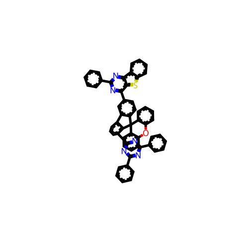 c1ccc(-c2nc(-c3ccccc3)nc(-c3cccc4c3C3(c5ccccc5Oc5ccccc53)c3ccc(-c5nc(-c6ccccc6)nc6c5sc5ccccc56)cc3-4)n2)cc1